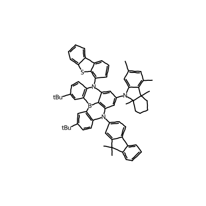 Cc1cc(C)c2c(c1)N(c1cc3c4c(c1)N(c1cccc5c1sc1ccccc15)c1ccc(C(C)(C)C)cc1B4c1cc(C(C)(C)C)ccc1N3c1ccc3c(c1)C(C)(C)c1ccccc1-3)C1(C)CCCCC21C